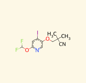 CC(C)(C#N)COc1cnc(OC(F)F)cc1I